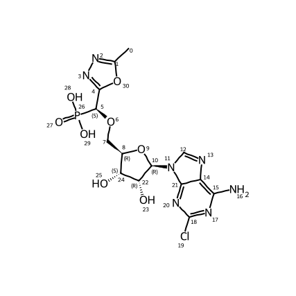 Cc1nnc([C@@H](OC[C@H]2O[C@@H](n3cnc4c(N)nc(Cl)nc43)[C@H](O)[C@@H]2O)P(=O)(O)O)o1